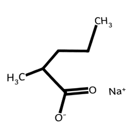 CCCC(C)C(=O)[O-].[Na+]